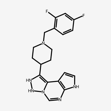 Fc1ccc(CN2CCC(C3=C4c5cc[nH]c5N=CN4NN3)CC2)c(F)c1